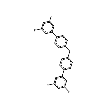 Fc1cc(F)cc(-c2ccc(Cc3ccc(-c4cc(F)cc(F)c4)cc3)cc2)c1